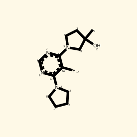 CC1(O)CCN(c2ncnc(N3CCCC3)c2F)C1